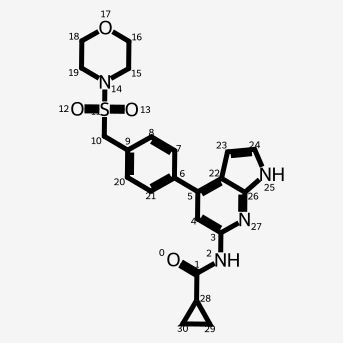 O=C(Nc1cc(-c2ccc(CS(=O)(=O)N3CCOCC3)cc2)c2cc[nH]c2n1)C1CC1